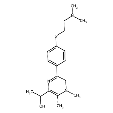 CC1=C(C(C)O)N=C(c2ccc(SCCN(C)C)cc2)CN1C